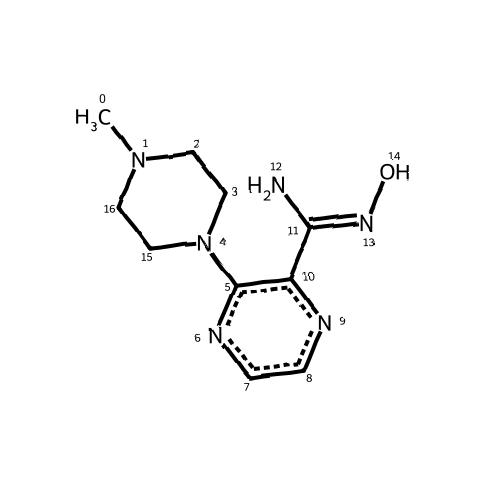 CN1CCN(c2nccnc2/C(N)=N/O)CC1